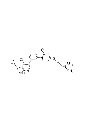 CN(C)CCCSN1CCN(c2cccc(-c3cnc4[nH]cc(C5CC5)c4c3Cl)c2)C(=O)C1